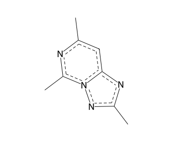 Cc1cc2nc(C)nn2c(C)n1